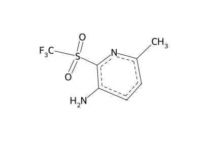 Cc1ccc(N)c(S(=O)(=O)C(F)(F)F)n1